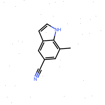 Cc1cc(C#N)cc2cc[nH]c12